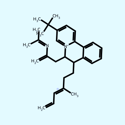 C=C/C=C(\C)CCC1c2ccccc2-c2ccc(C(C)(C)C)c[n+]2C1CC(=C)N=C(C)C